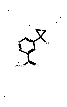 COC(=O)c1cncc(C2(Cl)CC2)c1